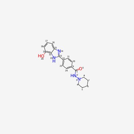 O=C(NN1CCCCC1)c1ccc(-c2nc3cccc(O)c3[nH]2)cc1